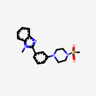 Cn1c(-c2cccc(N3CCN(S(C)(=O)=O)CC3)c2)nc2ccccc21